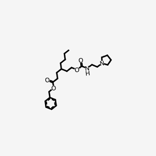 CCCCC(CCOC(=O)NCCN1CCCC1)CCC(=O)OCc1ccccc1